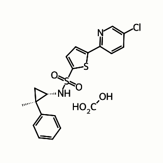 C[C@]1(c2ccccc2)C[C@@H]1NS(=O)(=O)c1ccc(-c2ccc(Cl)cn2)s1.O=C(O)O